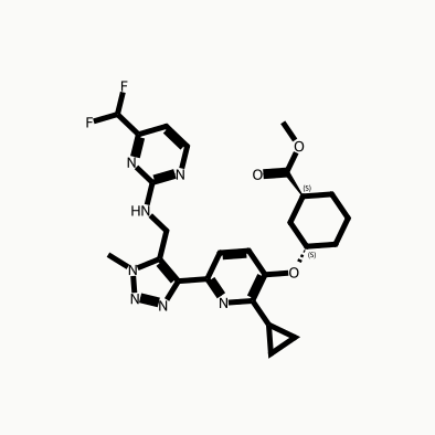 COC(=O)[C@H]1CCC[C@H](Oc2ccc(-c3nnn(C)c3CNc3nccc(C(F)F)n3)nc2C2CC2)C1